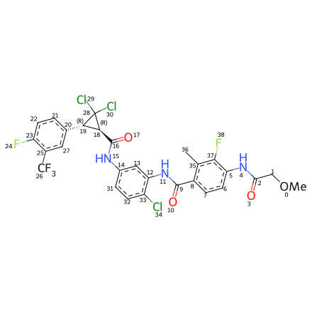 COCC(=O)Nc1ccc(C(=O)Nc2cc(NC(=O)[C@H]3[C@H](c4ccc(F)c(C(F)(F)F)c4)C3(Cl)Cl)ccc2Cl)c(C)c1F